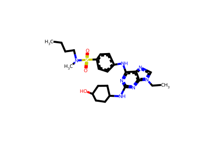 CCCCN(C)S(=O)(=O)c1ccc(Nc2nc(NC3CCC(O)CC3)nc3c2ncn3CC)cc1